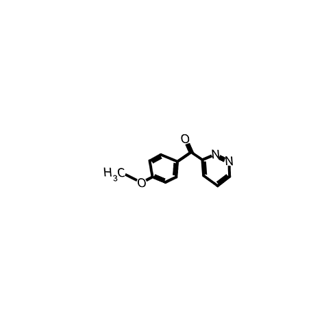 COc1ccc(C(=O)c2cccnn2)cc1